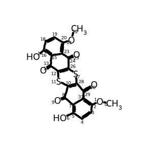 COc1ccc(O)c2c(=O)c3sc4c(=O)c5c(O)ccc(OC)c5c(=O)c4sc3c(=O)c12